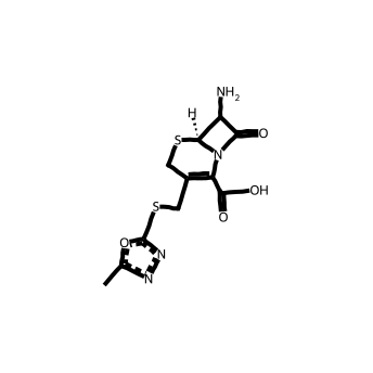 Cc1nnc(SCC2=C(C(=O)O)N3C(=O)C(N)[C@@H]3SC2)o1